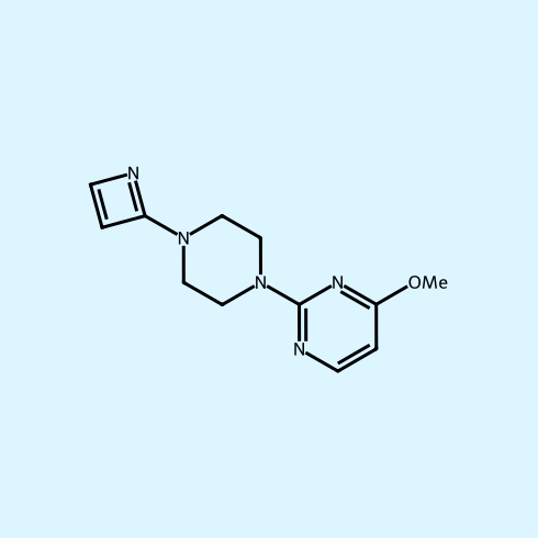 COc1ccnc(N2CCN(C3=NC=C3)CC2)n1